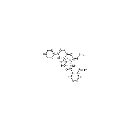 CCS[C@@H]1OC2COC(c3ccccc3)O[C@H]2C(O)[C@H]1NC(=O)c1ccccc1C=O